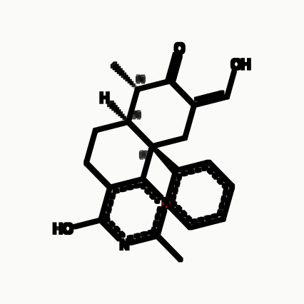 Cc1nc(O)c2c(n1)[C@@]1(c3ccccc3)CC(=CO)C(=O)[C@@H](C)[C@@H]1CC2